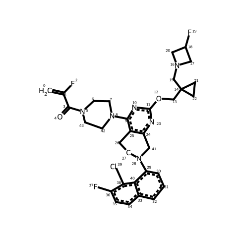 C=C(F)C(=O)N1CCN(c2nc(OCC3(CN4CC(F)C4)CC3)nc3c2CCN(c2cccc4ccc(F)c(Cl)c24)C3)CC1